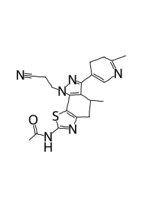 CC(=O)Nc1nc2c(s1)-c1c(c(C3=CN=C(C)CC3)nn1CCC#N)C(C)C2